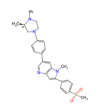 CC(C)N1CCN(c2ccc(-c3cnc4cc(-c5ccc(S(C)(=O)=O)cc5)n(C)c4c3)cc2)C[C@H]1C